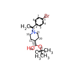 C=C(c1ccc(Br)cc1)N1CCC(C(O)OC(C)(C)C)CC1